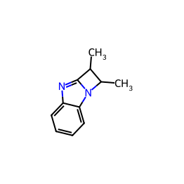 CC1c2nc3ccccc3n2C1C